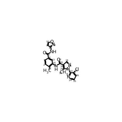 Cc1ccc(C(=O)Nc2ccon2)cc1NC(=O)c1cnn(-c2ncccc2Cl)c1C